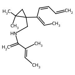 C=C/C=C\C(=C/C)C1(CNC(=C)/C(C)=C/C)CC1(C)C